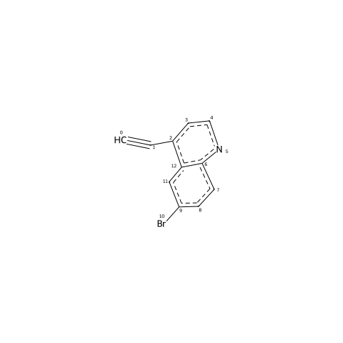 C#Cc1ccnc2ccc(Br)cc12